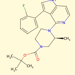 C[C@H]1CN(C(=O)OC(C)(C)C)CCN1c1nccc2[nH]cc(-c3ccccc3F)c12